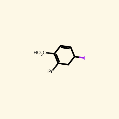 CC(C)C1=C(C(=O)O)C=CC(I)C1